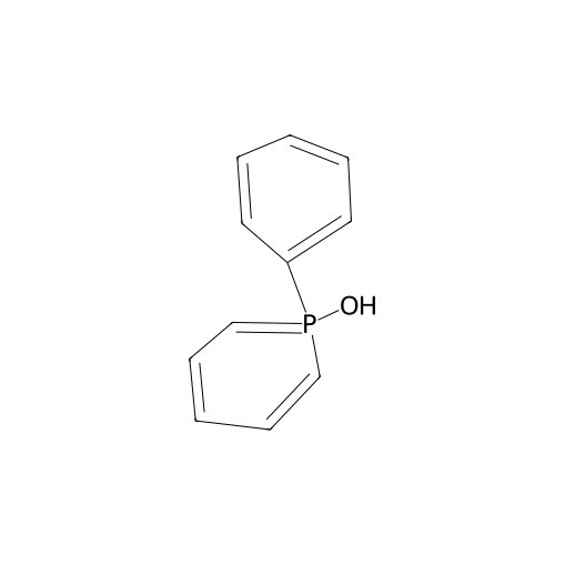 OP1(c2ccccc2)=CC=CC=C1